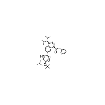 CC(C)C[C@H](NC(=O)c1ccc(NC(C(C)C)C(C)C)c(NC(=O)Cc2cccs2)c1)C(=O)OC(C)(C)C